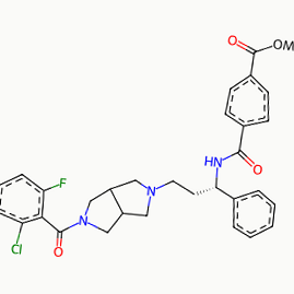 COC(=O)c1ccc(C(=O)N[C@@H](CCN2CC3CN(C(=O)c4c(F)cccc4Cl)CC3C2)c2ccccc2)cc1